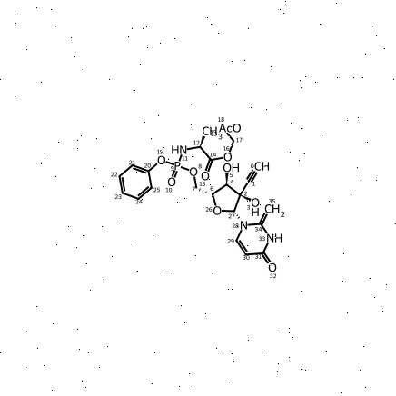 C#C[C@@]1(O)[C@H](O)[C@@H](COP(=O)(N[C@@H](C)C(=O)OCOC(C)=O)Oc2ccccc2)O[C@H]1N1C=CC(=O)NC1=C